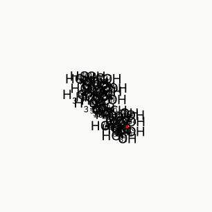 C=C1C[C@@]23CCC4[C@](C)(C(O)OC5OC(CO)C(O)C(OC6OC(CO)C(O)C(O)C6O)C5OC(O)C(O)C(OC5OC(CO)C(O)C(O)C5O)C(O)C(C)I)CCC[C@@]4(C)[C@@H]2CC[C@]1(OC1OC(CO)C(O)C(OC2OC(CO)C(O)C(O)C2O)C1OC1OC(CO)C(O)C(O)C1O)C3